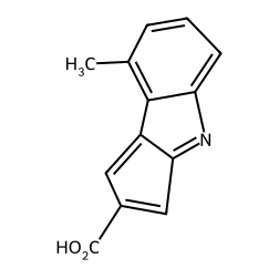 Cc1cccc2c1C1=CC(C(=O)O)=CC1=N2